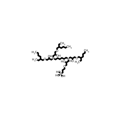 CCCCC(CC)COCC(O)CN(CCCCCCN(CC(O)COCC(CC)CCCC)CC(O)COCC(CC)CCCC)CC(O)COCCC[Si](O)(O)O